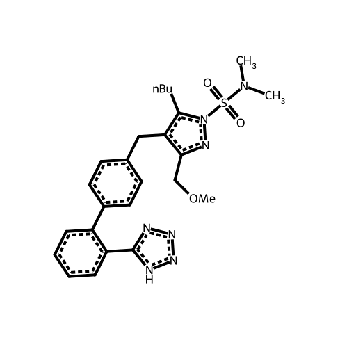 CCCCc1c(Cc2ccc(-c3ccccc3-c3nnn[nH]3)cc2)c(COC)nn1S(=O)(=O)N(C)C